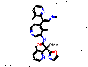 C=N/C=C(/C1=C(C)C(NC(=O)C(OC)(c2ncco2)c2ncccc2C)=CN=CC1)c1ncccc1C